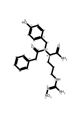 NC(=O)[C@@H](CCCNC(N)=N[N+](=O)[O-])N(Cc1ccc(O)cc1)C(=O)Cc1ccccc1